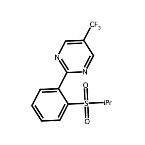 CC(C)S(=O)(=O)c1ccccc1-c1ncc(C(F)(F)F)cn1